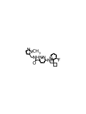 Cn1nccc1CNC(=O)c1ccc(NCC2(c3ncccc3F)CCC2)nn1